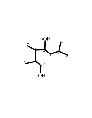 CC(C)CC(O)C(C)C(C)CO